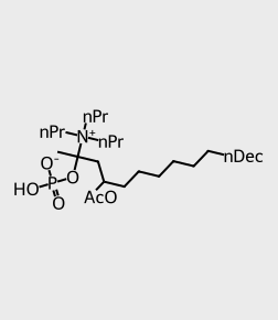 CCCCCCCCCCCCCCCCC(CC(C)(OP(=O)([O-])O)[N+](CCC)(CCC)CCC)OC(C)=O